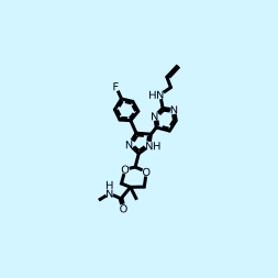 C=CCNc1nccc(-c2[nH]c(C3OCC(C)(C(=O)NC)CO3)nc2-c2ccc(F)cc2)n1